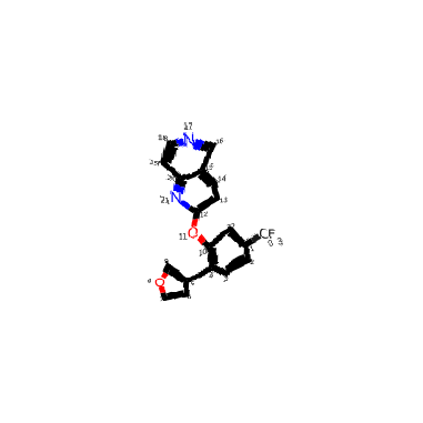 FC(F)(F)c1ccc(-c2ccoc2)c(Oc2ccc3cnccc3n2)c1